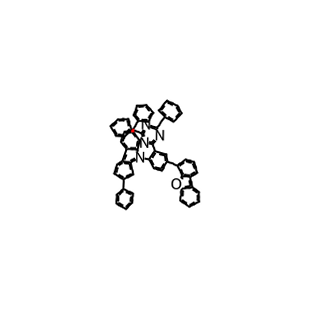 c1ccc(-c2ccc3c4ccc(-c5ccccc5)cc4n(-c4ccc(-c5cccc6c5oc5ccccc56)cc4-c4nc(-c5ccccc5)nc(-c5ccccc5)n4)c3c2)cc1